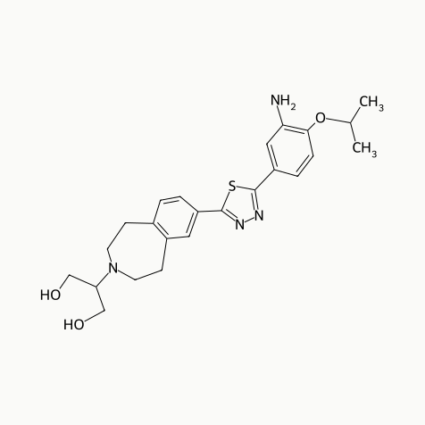 CC(C)Oc1ccc(-c2nnc(-c3ccc4c(c3)CCN(C(CO)CO)CC4)s2)cc1N